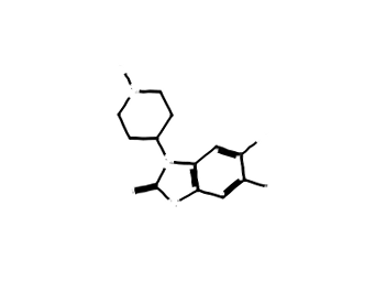 CC(C)N1CCC(n2c(=O)[nH]c3cc(F)c(Cl)cc32)CC1